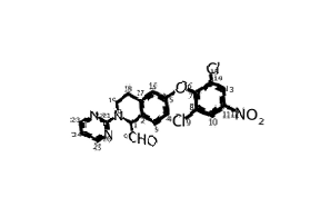 O=CC1c2ccc(Oc3c(Cl)cc([N+](=O)[O-])cc3Cl)cc2CCN1c1ncccn1